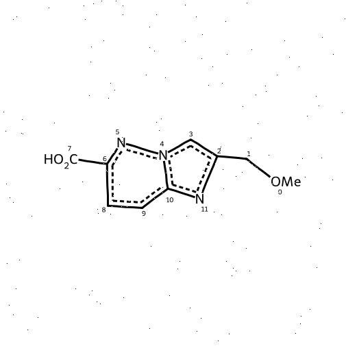 COCc1cn2nc(C(=O)O)ccc2n1